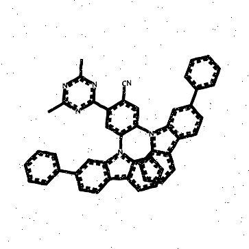 Cc1nc(C)nc(-c2cc(-n3c4ccccc4c4ccc(-c5ccccc5)cc43)c(-n3c4ccccc4c4ccc(-c5ccccc5)cc43)cc2C#N)n1